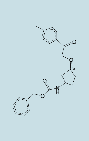 Cc1ccc(C(=O)CO[C@H]2CCC(NC(=O)OCc3ccccc3)C2)cc1